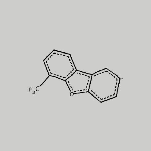 FC(F)(F)c1cccc2c1oc1cc[c]cc12